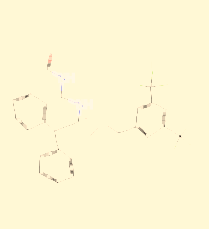 O=CNCN[C@H](COCc1cc(C(F)(F)F)cc(C(F)(F)F)c1)C(c1ccccc1)c1ccccc1